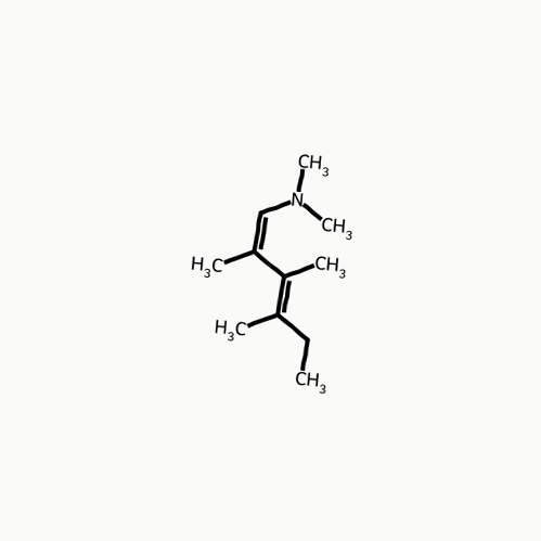 CC/C(C)=C(C)/C(C)=C\N(C)C